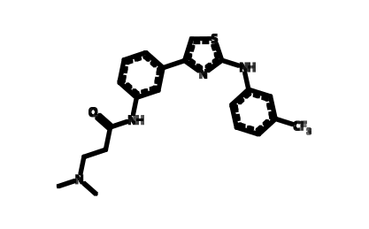 CN(C)CCC(=O)Nc1cccc(-c2csc(Nc3cccc(C(F)(F)F)c3)n2)c1